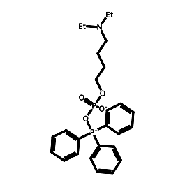 CCN(CC)CCCCOP(=O)([O-])O[P+](c1ccccc1)(c1ccccc1)c1ccccc1